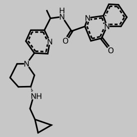 CC(NC(=O)c1cc(=O)n2ccccc2n1)c1ccc(N2CCC[C@@H](NCC3CC3)C2)cn1